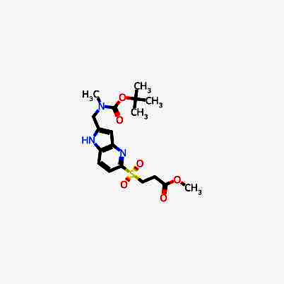 COC(=O)CCS(=O)(=O)c1ccc2[nH]c(CN(C)C(=O)OC(C)(C)C)cc2n1